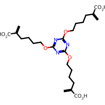 C=C(CCCCOc1nc(OCCCCC(=C)C(=O)O)nc(OCCCCC(=C)C(=O)O)n1)C(=O)O